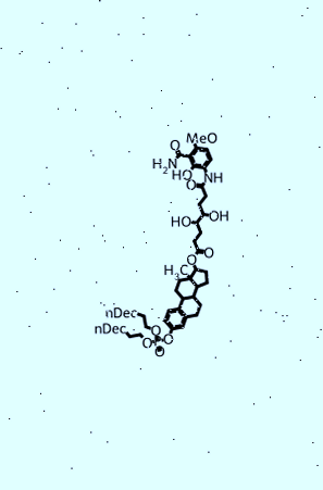 CCCCCCCCCCCCOP(=O)(OCCCCCCCCCCCC)Oc1ccc2c(c1)CCC1C2CCC2(C)C(OC(=O)CCC(O)C(O)CCC(=O)Nc3ccc(OC)c(C(N)=O)c3O)CCC12